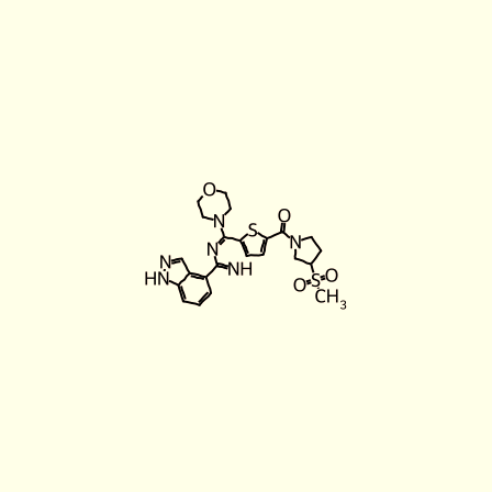 CS(=O)(=O)C1CCN(C(=O)c2ccc(/C(=N\C(=N)c3cccc4[nH]ncc34)N3CCOCC3)s2)C1